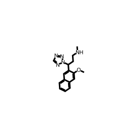 CNCCC(c1cc2ccccc2cc1OC)n1ncnn1